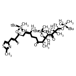 CC[C@H](O[Si](C)(C)C(C)(C)C)C(C)(C)C(=O)[C@H](C)[C@](O)(O[Si](C)(C)C(C)(C)C)[C@H](C)C(=O)CCC(C)=CC[C@H](O[Si](C)(C)C(C)(C)C)C(F)=Cc1csc(C)n1